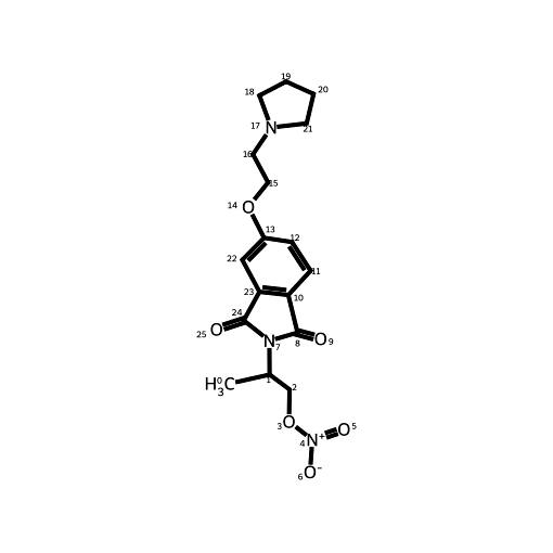 CC(CO[N+](=O)[O-])N1C(=O)c2ccc(OCCN3CCCC3)cc2C1=O